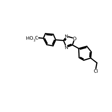 O=C(O)c1ccc(-c2noc(-c3ccc(CCl)cc3)n2)cc1